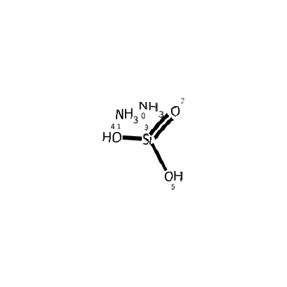 N.N.O=[Si](O)O